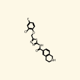 O=C(Nc1nnc(COc2ccc(F)cc2Cl)s1)c1ccc2c(c1)CCNC2